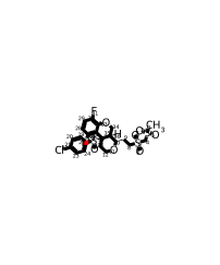 CS(=O)(=O)CS(=O)(=O)CC[C@@H]1OCC[C@@]2(S(=O)(=O)c3ccc(Cl)cc3)c3c(F)ccc(F)c3OC[C@@H]12